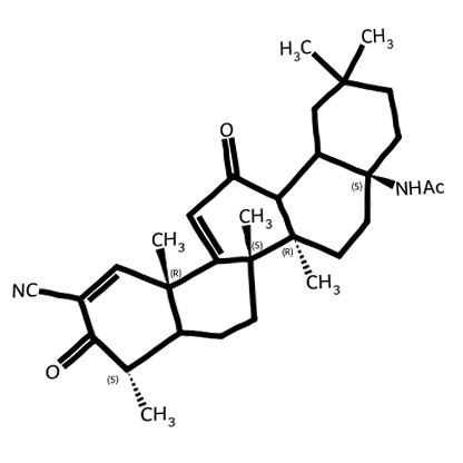 CC(=O)N[C@]12CCC(C)(C)CC1C1C(=O)C=C3[C@@]4(C)C=C(C#N)C(=O)[C@@H](C)C4CC[C@@]3(C)[C@]1(C)CC2